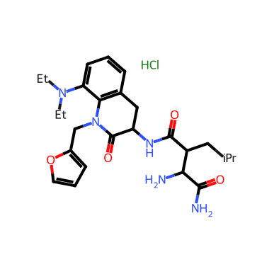 CCN(CC)c1cccc2c1N(Cc1ccco1)C(=O)C(NC(=O)C(CC(C)C)C(N)C(N)=O)C2.Cl